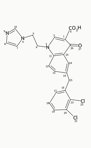 O=C(O)c1cn(CCn2ccnc2)c2ccc(Cc3cccc(Cl)c3Cl)cc2c1=O